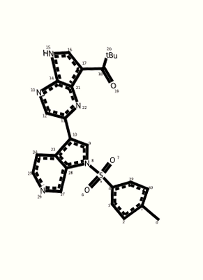 Cc1ccc(S(=O)(=O)n2cc(-c3cnc4[nH]cc(C(=O)C(C)(C)C)c4n3)c3ccncc32)cc1